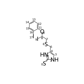 S=c1[nH]cc(CSCC(I)Oc2ccccc2I)[nH]1